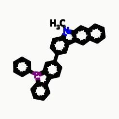 Cn1c2ccc(-c3ccc4c5ccccc5p(-c5ccccc5)c4c3)cc2c2cc3ccccc3cc21